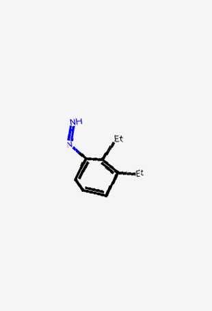 CCc1cccc(N=N)c1CC